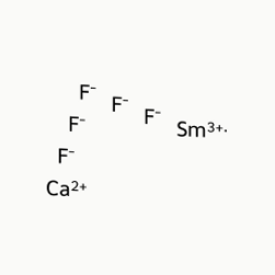 [Ca+2].[F-].[F-].[F-].[F-].[F-].[Sm+3]